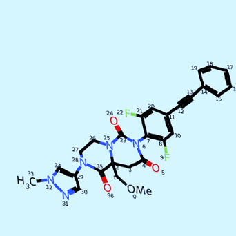 COCC12CC(=O)N(c3c(F)cc(C#Cc4ccccc4)cc3F)C(=O)N1CCN(c1cnn(C)c1)C2=O